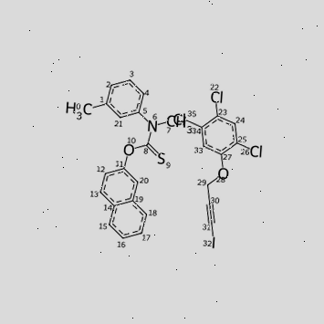 Cc1cccc(N(C)C(=S)Oc2ccc3ccccc3c2)c1.Clc1cc(Cl)c(OCC#CI)cc1Cl